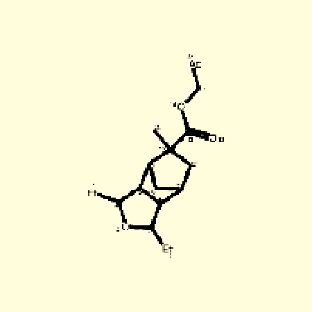 CCC1OC(CC)C2C1C1CC2C(C)(C(=O)OCC(C)=O)C1